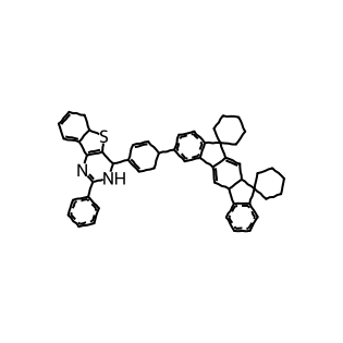 C1=CCC2SC3=C(N=C(c4ccccc4)NC3C3=CCC(c4ccc5c(c4)C4=CC6c7ccccc7C7(CCCCC7)C6C=C4C54CCCCC4)C=C3)C2=C1